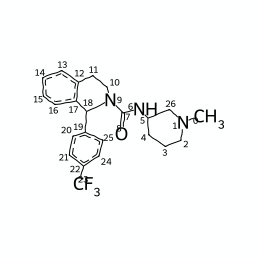 CN1CCCC(NC(=O)N2CCc3ccccc3C2c2ccc(C(F)(F)F)cc2)C1